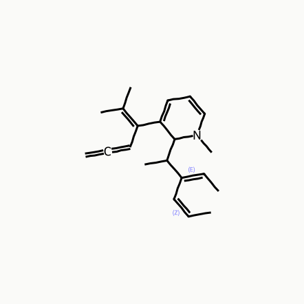 C=C=CC(C1=CC=CN(C)C1C(C)C(/C=C\C)=C/C)=C(C)C